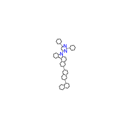 c1ccc(-c2cc(-n3c4ccccc4c4c5ccc(-c6ccc7cc(-c8cccc9ccccc89)ccc7c6)cc5ccc43)nc(-c3ccccc3)n2)cc1